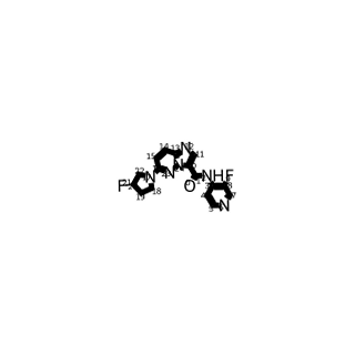 O=C(Nc1ccncc1F)c1cnc2ccc(N3CC[C@H](F)C3)nn12